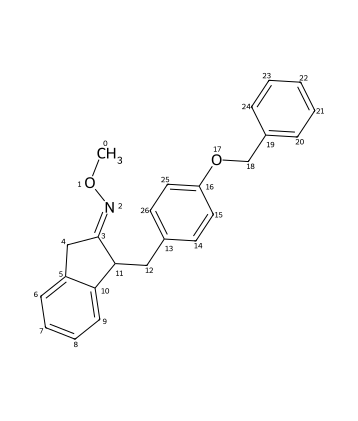 CON=C1Cc2ccccc2C1Cc1ccc(OCc2ccccc2)cc1